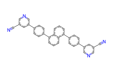 N#Cc1cncc(-c2ccc(-c3cccc4c(-c5ccc(-c6cncc(C#N)c6)cc5)cccc34)cc2)c1